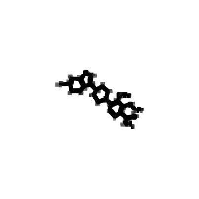 CCCOc1c(C(N)=O)ccc(N2CCC(c3noc4cc(F)ccc34)CC2)c1OC